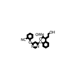 COC(=O)C(=CCO)c1ccccc1Oc1cc(Oc2ccccc2C#N)ncn1